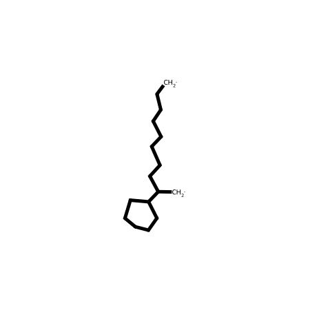 [CH2]CCCCCCCC([CH2])C1CCCCC1